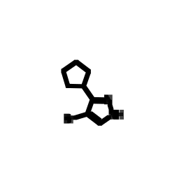 Brc1c[nH]nc1C1CCCC1